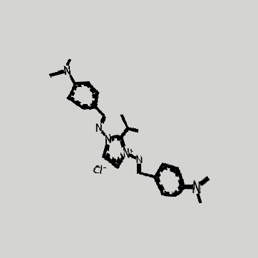 CC(C)c1n(N=Cc2ccc(N(C)C)cc2)cc[n+]1N=Cc1ccc(N(C)C)cc1.[Cl-]